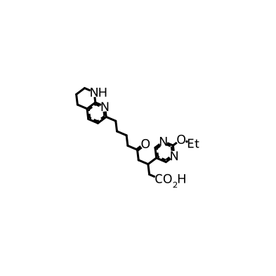 CCOc1ncc(C(CC(=O)O)CC(=O)CCCCc2ccc3c(n2)NCCC3)cn1